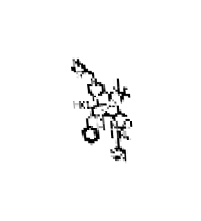 CC(C)[C@@H](NC(=O)N(C)Cc1cncs1)C(=O)N[C@@H](Cc1ccccc1)[C@@H](O)CN1CCN(Cc2cncs2)C[C@H]1C(=O)NC(C)(C)C